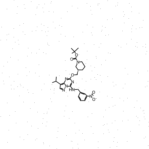 CC(C)c1cnn2c(NCc3cccc([N+](=O)[O-])c3)nc(OC[C@@H]3CCCN(C(=O)OC(C)(C)C)C3)nc12